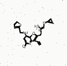 C#Cc1c(C[C@@H](N)COC2CC2)oc2c(NCc3cccs3)cc(Cl)nc12